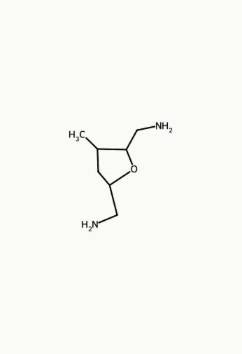 CC1CC(CN)OC1CN